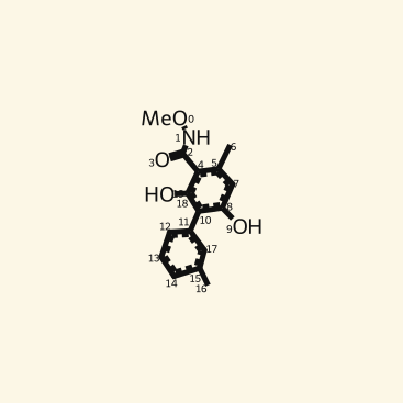 CONC(=O)c1c(C)cc(O)c(-c2cccc(C)c2)c1O